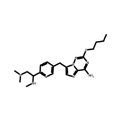 CCCCOc1nc(N)c2ncc(Cc3ccc(C(CN(C)C)NC)nc3)n2n1